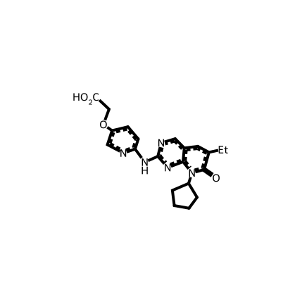 CCc1cc2cnc(Nc3ccc(OCC(=O)O)cn3)nc2n(C2CCCC2)c1=O